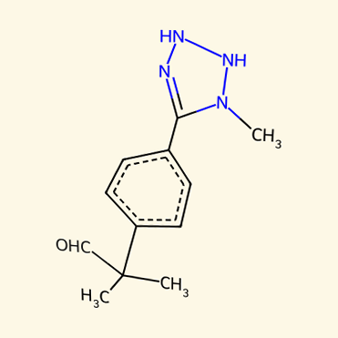 CN1NNN=C1c1ccc(C(C)(C)C=O)cc1